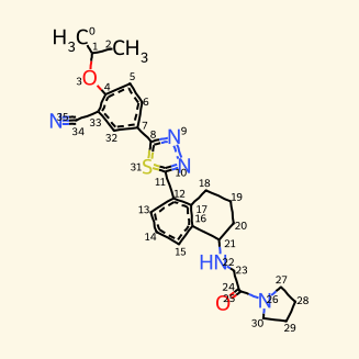 CC(C)Oc1ccc(-c2nnc(-c3cccc4c3CCCC4NCC(=O)N3CCCC3)s2)cc1C#N